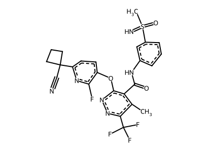 Cc1c(C(F)(F)F)nnc(Oc2ccc(C3(C#N)CCC3)nc2F)c1C(=O)Nc1cccc(S(C)(=N)=O)c1